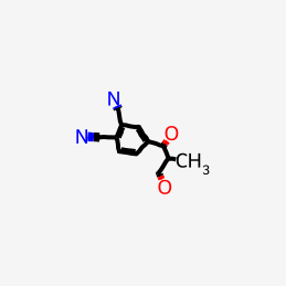 CC(C=O)C(=O)c1ccc(C#N)c(C#N)c1